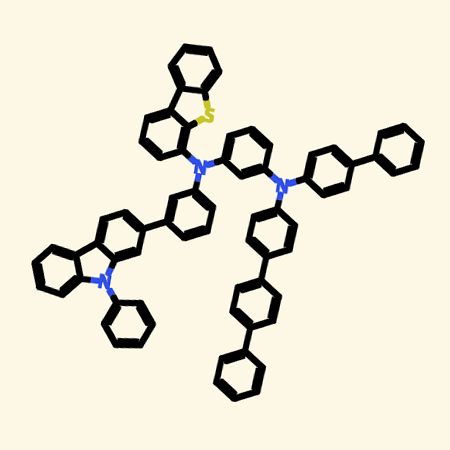 c1ccc(-c2ccc(-c3ccc(N(c4ccc(-c5ccccc5)cc4)c4cccc(N(c5cccc(-c6ccc7c8ccccc8n(-c8ccccc8)c7c6)c5)c5cccc6c5sc5ccccc56)c4)cc3)cc2)cc1